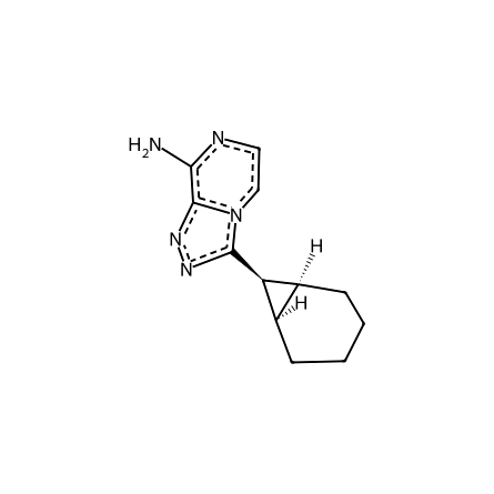 Nc1nccn2c([C@@H]3[C@@H]4CCCC[C@@H]43)nnc12